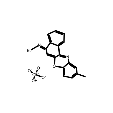 CCN=c1cc2oc3ccc(C)cc3nc-2c2ccccc12.[O-][Cl+3]([O-])([O-])O